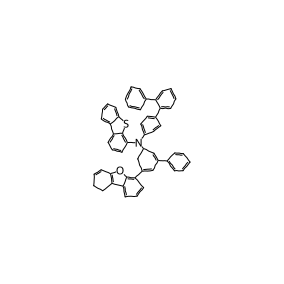 C1=Cc2oc3c(C4=CC(c5ccccc5)=CC(N(c5ccc(-c6ccccc6-c6ccccc6)cc5)c5cccc6c5sc5ccccc56)C4)cccc3c2CC1